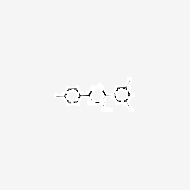 Cc1ccc(C(=O)NN(C(=O)c2cc(C)cc(C)c2)C(C)(C)C)cc1